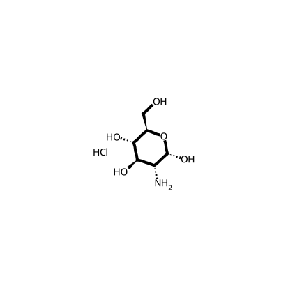 Cl.N[C@@H]1[C@@H](O)[C@H](O)[C@@H](CO)O[C@@H]1O